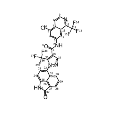 O=C(Nc1cc(Cl)c2ccnc(C(F)(F)F)c2c1)c1cnn(-c2ccc3c4c(cccc24)C(=O)N3)c1C(F)(F)F